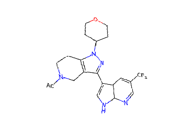 CC(=O)N1CCc2c(c(C3=CNC4N=CC(C(F)(F)F)=CC34)nn2C2CCOCC2)C1